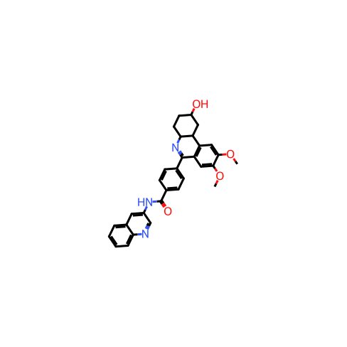 COc1cc2c(cc1OC)C1CC(O)CCC1N=C2c1ccc(C(=O)Nc2cnc3ccccc3c2)cc1